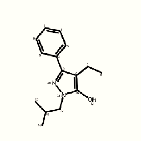 CCc1c(-c2ccccc2)nn(CC(C)C)c1O